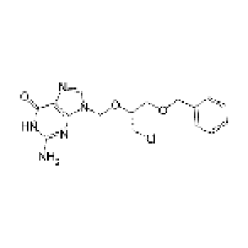 Nc1nc2c(ncn2CO[C@@H](CCl)COCc2ccccc2)c(=O)[nH]1